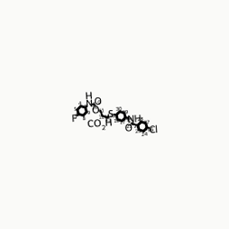 O=C(Nc1ccc(F)cc1)OCCC(Sc1ccc(NC(=O)c2ccc(Cl)cc2)cc1)C(=O)O